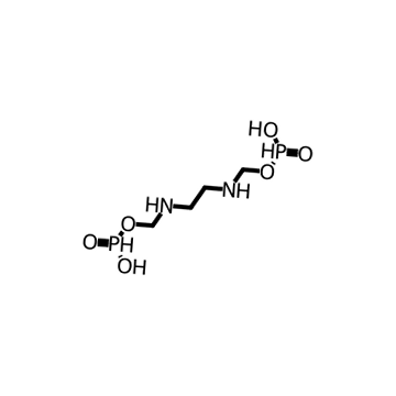 O=[PH](O)OCNCCNCO[PH](=O)O